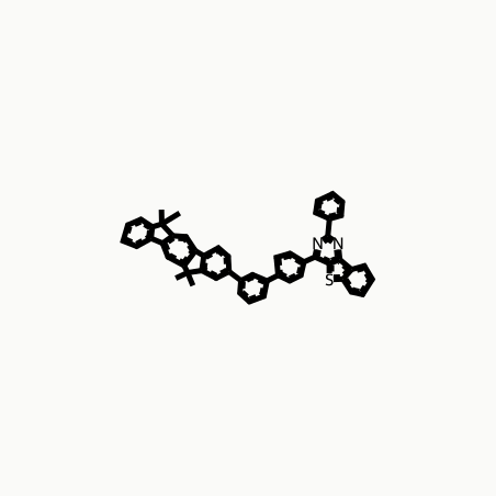 CC1(C)c2ccccc2-c2cc3c(cc21)-c1ccc(-c2cccc(-c4ccc(-c5nc(-c6ccccc6)nc6c5sc5ccccc56)cc4)c2)cc1C3(C)C